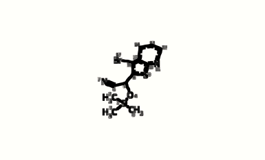 C[Si](C)(C)OC(C#N)c1sc2ncccc2c1Br